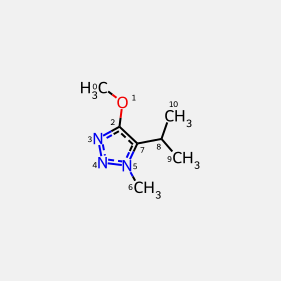 COc1nnn(C)c1C(C)C